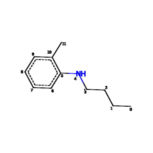 CCC[CH]Nc1ccccc1C